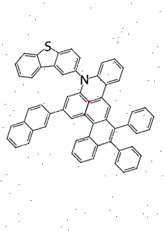 c1ccc(-c2c(-c3ccccc3)c3cc(-c4ccccc4N(c4cccc(-c5ccc6ccccc6c5)c4)c4ccc5sc6ccccc6c5c4)ccc3c3ccccc23)cc1